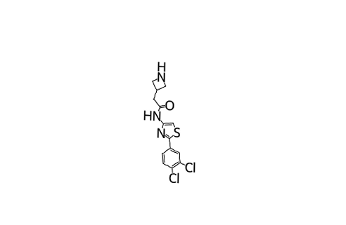 O=C(CC1CNC1)Nc1csc(-c2ccc(Cl)c(Cl)c2)n1